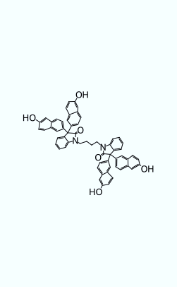 O=C1N(CCCCN2C(=O)C(c3ccc4cc(O)ccc4c3)(c3ccc4cc(O)ccc4c3)c3ccccc32)c2ccccc2C1(c1ccc2cc(O)ccc2c1)c1ccc2cc(O)ccc2c1